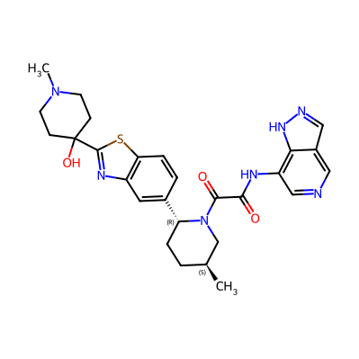 C[C@H]1CC[C@H](c2ccc3sc(C4(O)CCN(C)CC4)nc3c2)N(C(=O)C(=O)Nc2cncc3cn[nH]c23)C1